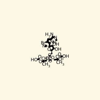 CC(C)(COP(=O)(OC[C@H]1O[C@@](C#N)(c2c(Br)cc3c(N)ncnn23)[C@H](O)[C@@H]1O)OCC(C)(C)OC(=O)O)OC(=O)O